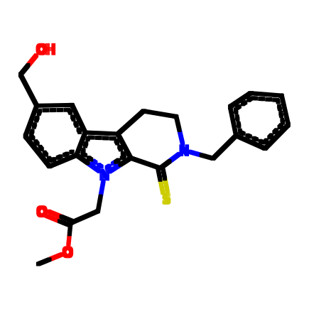 COC(=O)Cn1c2c(c3cc(CO)ccc31)CCN(Cc1ccccc1)C2=S